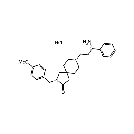 COc1ccc(CN2CC3(CCN(CC[C@H](N)c4ccccc4)CC3)CC2=O)cc1.Cl